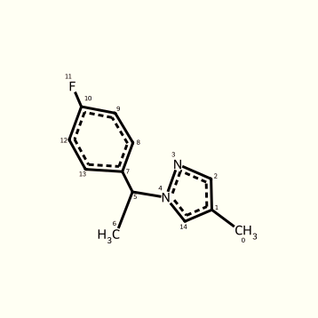 Cc1cnn(C(C)c2ccc(F)cc2)c1